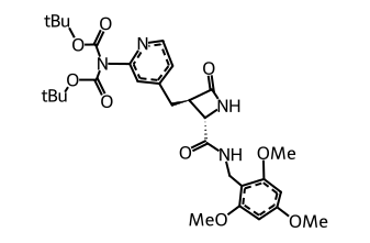 COc1cc(OC)c(CNC(=O)[C@H]2NC(=O)[C@@H]2Cc2ccnc(N(C(=O)OC(C)(C)C)C(=O)OC(C)(C)C)c2)c(OC)c1